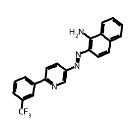 Nc1c(N=Nc2ccc(-c3cccc(C(F)(F)F)c3)nc2)ccc2ccccc12